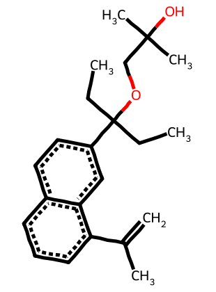 C=C(C)c1cccc2ccc(C(CC)(CC)OCC(C)(C)O)cc12